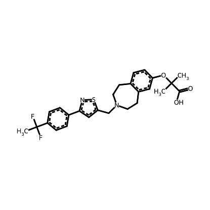 CC(C)(Oc1ccc2c(c1)CCN(Cc1cc(-c3ccc(C(C)(F)F)cc3)ns1)CC2)C(=O)O